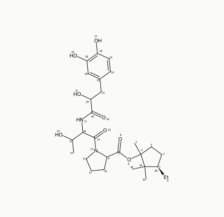 CC[C@@H]1CCC(C)(OC(=O)C2CCCN2C(=O)C(NC(=O)C(O)Cc2ccc(O)c(O)c2)C(C)O)C1(C)C